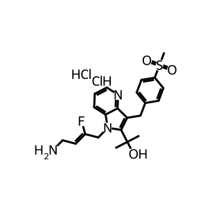 CC(C)(O)c1c(Cc2ccc(S(C)(=O)=O)cc2)c2ncccc2n1C/C(F)=C/CN.Cl.Cl